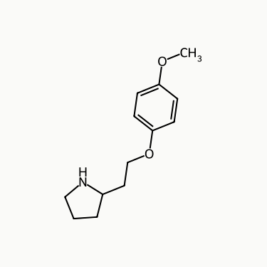 COc1ccc(OCCC2CCCN2)cc1